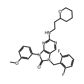 COc1cccc(-n2c(=O)n(Cc3c(F)cccc3F)c3cnc(NCCC4CCCCO4)nc32)c1